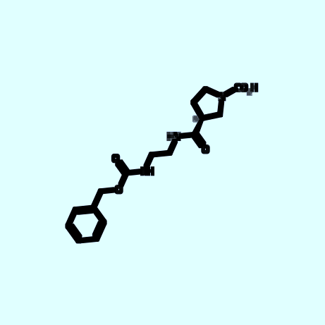 O=C(NCCNC(=O)[C@H]1CCN(C(=O)O)C1)OCc1ccccc1